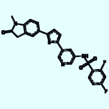 CN1C(=O)Cc2cc(-c3ccc(-c4cncc(NS(=O)(=O)c5ccc(F)cc5F)c4)s3)ccc21